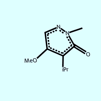 COc1cnn(C)c(=O)c1C(C)C